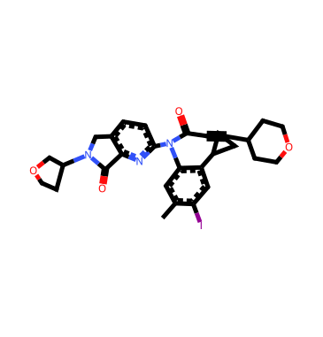 Cc1cc(N(C(=O)C#CC2CCOCC2)c2ccc3c(n2)C(=O)N(C2CCOC2)C3)c(C2CC2)cc1I